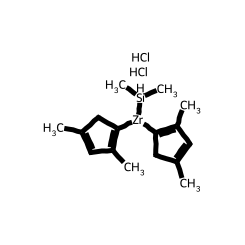 CC1=CC(C)=[C]([Zr]([C]2=C(C)C=C(C)C2)[SiH](C)C)C1.Cl.Cl